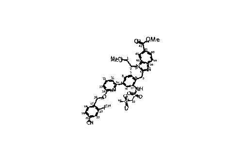 COCCn1c(Cc2ccc(-c3cccc(OCc4ccc(C#N)cc4F)n3)cc2NS(=O)(=O)CS(C)(=O)=O)nc2ccc(C(=O)OC)cc21